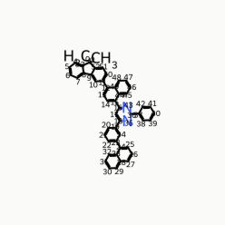 CC1(C)c2ccccc2-c2cc(-c3ccc(-c4cc(-c5cccc(-c6cccc7ccccc67)c5)nc(-c5ccccc5)n4)c4ccccc34)ccc21